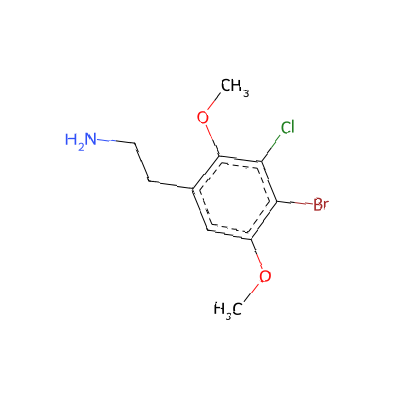 COc1cc(CCN)c(OC)c(Cl)c1Br